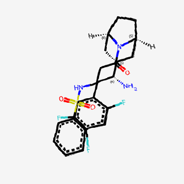 N[C@H](Cc1cc(F)c(F)cc1F)[C@@H]1C[C@H]2CC[C@@H](C1)N2C(=O)CCNS(=O)(=O)c1ccccc1